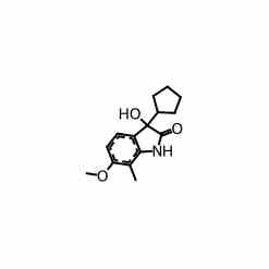 COc1ccc2c(c1C)NC(=O)C2(O)C1CCCC1